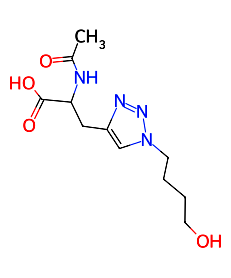 CC(=O)NC(Cc1cn(CCCCO)nn1)C(=O)O